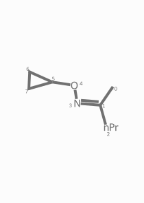 [CH2]C(CCC)=NOC1CC1